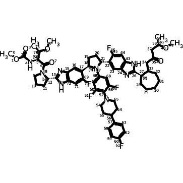 COC(=O)N[C@H](C(=O)N1CCC[C@H]1c1nc2cc([C@H]3CC[C@H](c4cc5nc([C@@H]6CCCCCC6CC(=O)C[C@@H](C)OC)[nH]c5cc4F)N3c3cc(F)c(N4CCC(c5ccc(F)cc5)CC4)c(F)c3)c(F)cc2[nH]1)[C@@H](C)OC